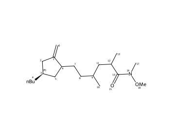 C=C1C[C@H](CCCC)CC1CCC(C)CC(C)C(=O)N(C)OC